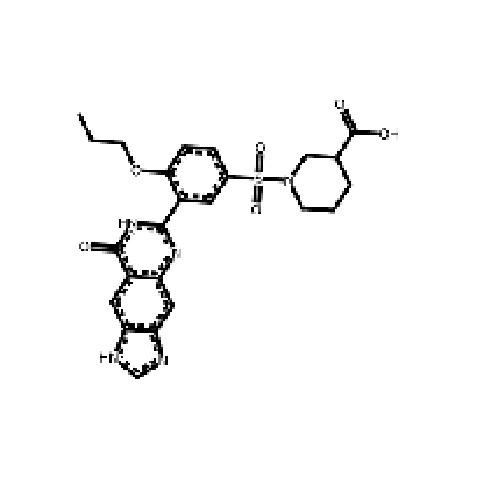 CCCOc1ccc(S(=O)(=O)N2CCCC(C(=O)O)C2)cc1-c1nc2cc3nc[nH]c3cc2c(=O)[nH]1